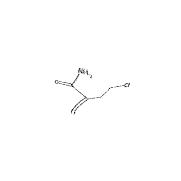 C=C(CCCl)C(N)=O